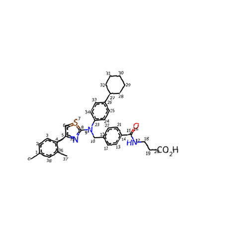 Cc1ccc(-c2csc(N(Cc3ccc(C(=O)NCCC(=O)O)cc3)c3ccc(C4CCCCC4)cc3)n2)c(C)c1